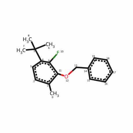 Cc1ccc(C(C)(C)C)c(F)c1OCc1ccccc1